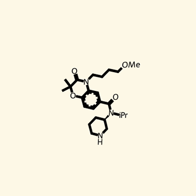 COCCCCN1C(=O)C(C)(C)Oc2ccc(C(=O)N(C(C)C)[C@@H]3CCCNC3)cc21